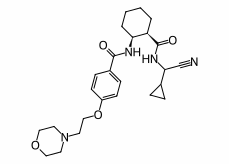 N#CC(NC(=O)[C@@H]1CCCC[C@@H]1NC(=O)c1ccc(OCCN2CCOCC2)cc1)C1CC1